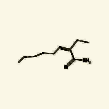 CCCCCC=C(CC)C(N)=O